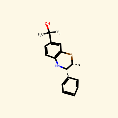 C[C@H]1Sc2cc(C(O)(C(F)(F)F)C(F)(F)F)ccc2N[C@H]1c1ccccc1